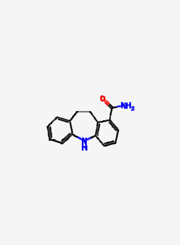 NC(=O)c1cccc2c1CCc1ccccc1N2